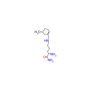 C[C@H]1CCC=C(CNCCCCC(N)C(N)=O)C1